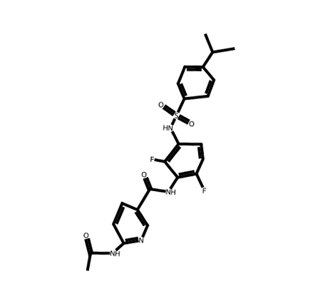 CC(=O)Nc1ccc(C(=O)Nc2c(F)ccc(NS(=O)(=O)c3ccc(C(C)C)cc3)c2F)cn1